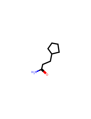 NC(=O)CCC1CCCC1